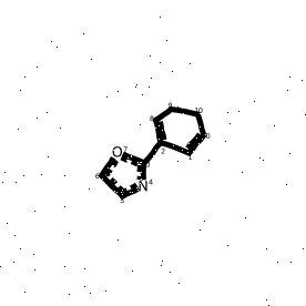 C1=CC(c2ncco2)=CCC1